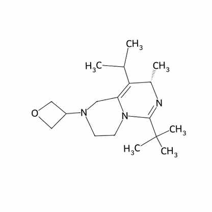 CC(C)C1=C2CN(C3COC3)CCN2C(C(C)(C)C)=N[C@H]1C